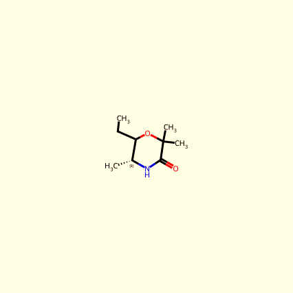 CCC1OC(C)(C)C(=O)N[C@@H]1C